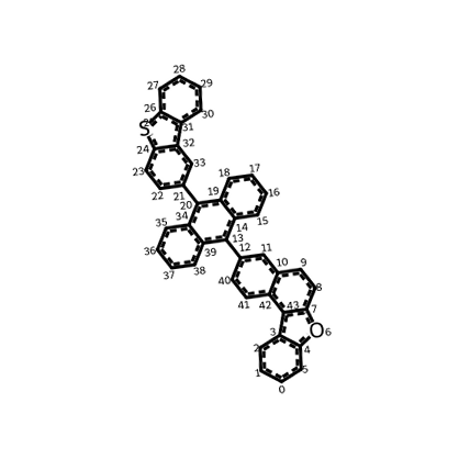 c1ccc2c(c1)oc1ccc3cc(-c4c5ccccc5c(-c5ccc6sc7ccccc7c6c5)c5ccccc45)ccc3c12